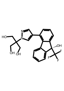 OCC(CO)(CO)n1cc(-c2cccc3c2-c2ccccc2[C@]3(O)C(F)(F)F)cn1